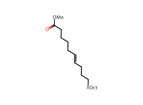 CCCCCCCCCCC/C=C/CCCCC(=O)OC